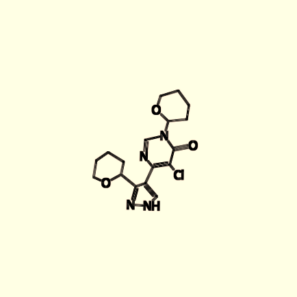 O=c1c(Cl)c(-c2c[nH]nc2C2CCCCO2)ncn1C1CCCCO1